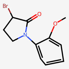 COc1ccccc1N1CCC(Br)C1=O